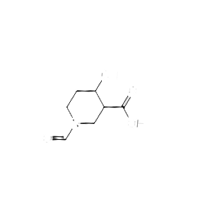 O=CN1CCC(O)C(C(=O)O)C1